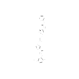 O=C(Cc1ccccn1)Nc1cn(CCC(F)Cn2cc(C(=O)NCc3cc(OC(F)(F)F)ccc3F)nn2)nn1